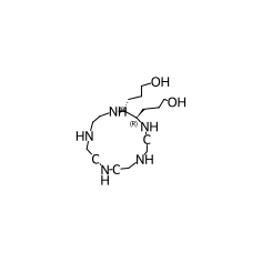 OCCC[C@H]1NCCNCCNCCNCCN[C@@H]1CCCO